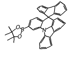 CC1(C)OB(c2ccc3c(c2)-n2c4ccccc4c4cccc(c42)C32c3ccccc3-c3ccccc32)OC1(C)C